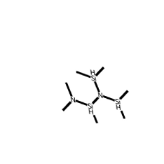 CN(C)[SiH](C)N([SiH](C)C)[SiH](C)C